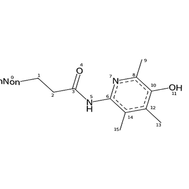 CCCCCCCCCCCC(=O)Nc1nc(C)c(O)c(C)c1C